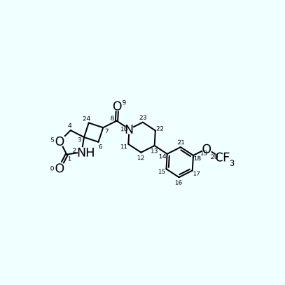 O=C1NC2(CO1)CC(C(=O)N1CCC(c3cccc(OC(F)(F)F)c3)CC1)C2